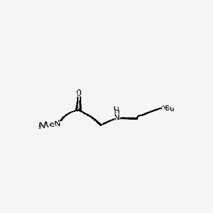 CCCCCNCC(=O)NC